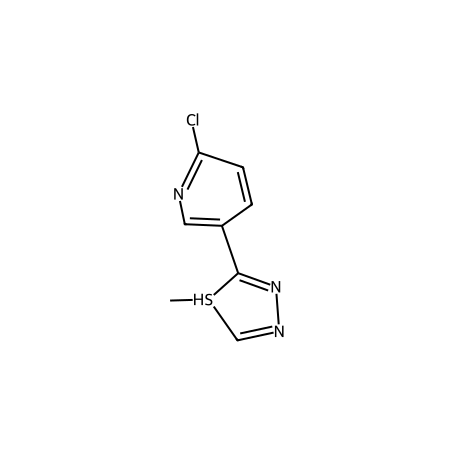 C[SH]1C=NN=C1c1ccc(Cl)nc1